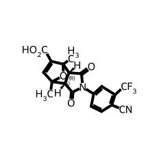 CC12C=C(C(=O)O)C(C)(O1)[C@@H]1C(=O)N(c3ccc(C#N)c(C(F)(F)F)c3)C(=O)[C@@H]12